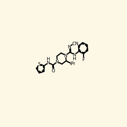 CC(C)C1CN(C(=O)Nc2cccs2)CCN1/C(=N/C#N)Nc1ccccc1F